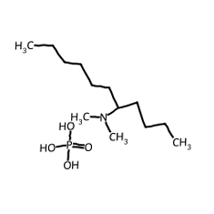 CCCCCCC(CCCC)N(C)C.O=P(O)(O)O